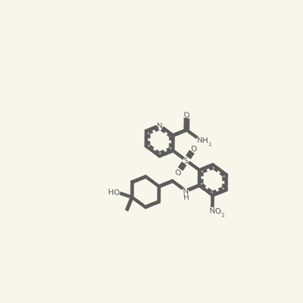 CC1(O)CCC(CNc2c([N+](=O)[O-])cccc2S(=O)(=O)c2cccnc2C(N)=O)CC1